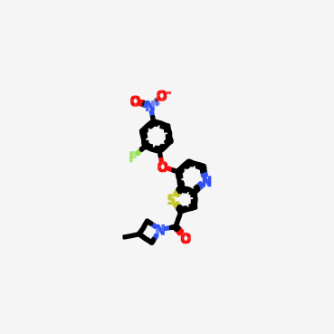 CC1CN(C(=O)c2cc3nccc(Oc4ccc([N+](=O)[O-])cc4F)c3s2)C1